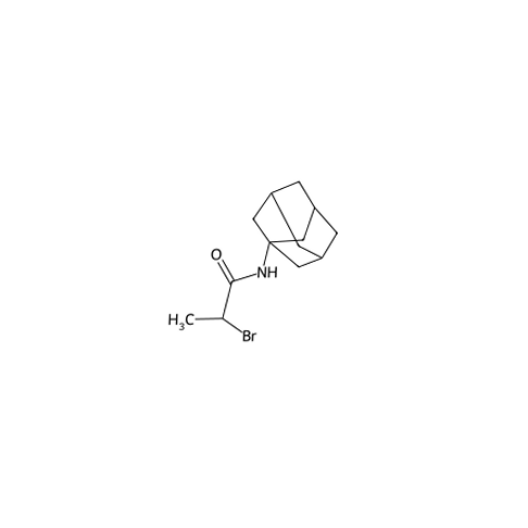 CC(Br)C(=O)NC12CC3CC(CC(C3)C1)C2